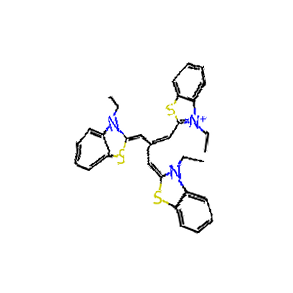 CCN1C(=CC(=Cc2sc3ccccc3[n+]2CC)C=C2Sc3ccccc3N2CC)Sc2ccccc21